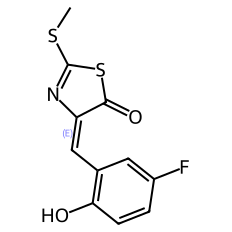 CSC1=N/C(=C/c2cc(F)ccc2O)C(=O)S1